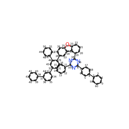 c1ccc(-c2ccc(-c3nc(-c4ccccc4)nc(-c4cccc5oc6ccc(-c7ccc(-c8cccc(-c9ccccc9)c8)cc7-c7ccccc7)cc6c45)n3)cc2)cc1